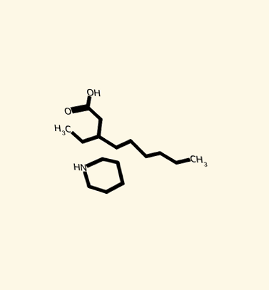 C1CCNCC1.CCCCCCC(CC)CC(=O)O